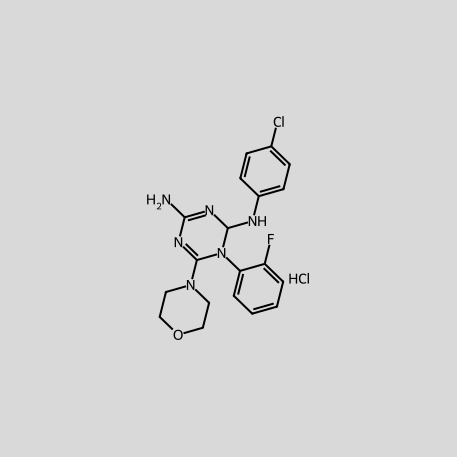 Cl.NC1=NC(Nc2ccc(Cl)cc2)N(c2ccccc2F)C(N2CCOCC2)=N1